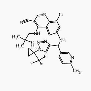 Cc1ccc(C(Nc2cc(Cl)c3ncc(C#N)c(NCC(C)(C)C)c3c2)c2cn(C3(C(F)(F)F)CC3)nn2)cn1